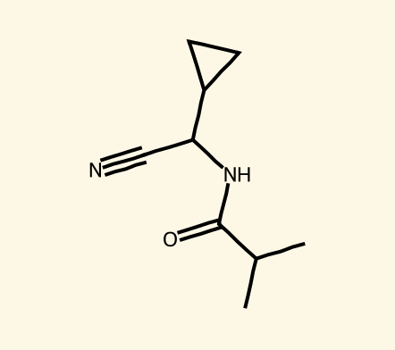 CC(C)C(=O)NC(C#N)C1CC1